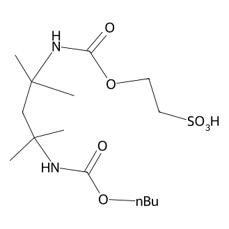 CCCCOC(=O)NC(C)(C)CC(C)(C)NC(=O)OCCS(=O)(=O)O